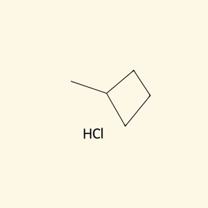 CC1CCC1.Cl